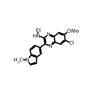 CCNc1nc2cc(OC)c(Cl)cc2nc1-c1ccc2c(ccn2C)c1